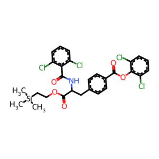 C[Si](C)(C)CCOC(=O)C(Cc1ccc(C(=O)Oc2c(Cl)cccc2Cl)cc1)NC(=O)c1c(Cl)cccc1Cl